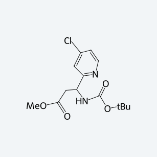 COC(=O)CC(NC(=O)OC(C)(C)C)c1cc(Cl)ccn1